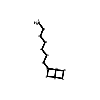 NCCCCCCC1CC2CCC12